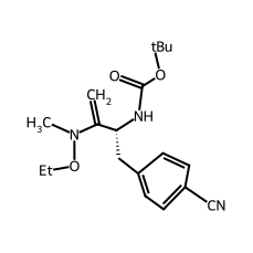 C=C([C@@H](Cc1ccc(C#N)cc1)NC(=O)OC(C)(C)C)N(C)OCC